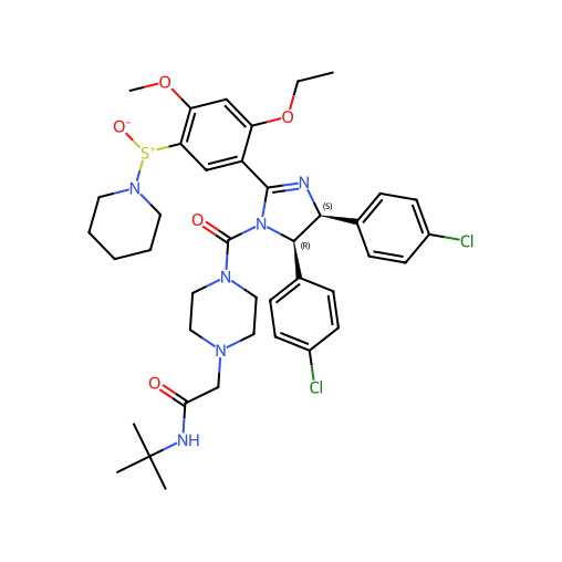 CCOc1cc(OC)c([S+]([O-])N2CCCCC2)cc1C1=N[C@@H](c2ccc(Cl)cc2)[C@@H](c2ccc(Cl)cc2)N1C(=O)N1CCN(CC(=O)NC(C)(C)C)CC1